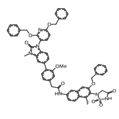 COc1cc(CC(=O)Nc2ccc3c(F)c(N4CC(=O)NS4(=O)=O)c(OCc4ccccc4)cc3c2)ccc1-c1ccc2c(c1)n(C)c(=O)n2-c1ccc(OCc2ccccc2)nc1OCc1ccccc1